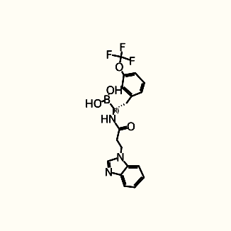 O=C(CCn1cnc2ccccc21)N[C@@H](Cc1cccc(OC(F)(F)F)c1)B(O)O